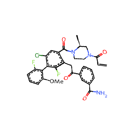 C=CC(=O)N1CCN(C(=O)c2cc(Cl)c(-c3c(F)cccc3OC)c(F)c2CC(=O)c2cccc(C(N)=O)c2)[C@@H](C)C1